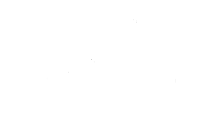 Cc1cc(C)cc(Oc2ccc([N+](=O)[O-])cc2S(=O)(=O)N2CCN(C=O)CC2)c1